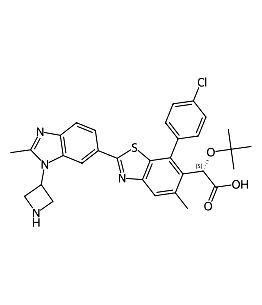 Cc1cc2nc(-c3ccc4nc(C)n(C5CNC5)c4c3)sc2c(-c2ccc(Cl)cc2)c1[C@H](OC(C)(C)C)C(=O)O